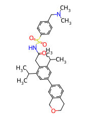 CC(C)c1cc(-c2ccc3c(c2)COCC3)cc(C(C)C)c1CC(=O)NS(=O)(=O)c1ccc(CN(C)C)cc1